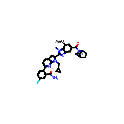 COc1cc(C(=O)N2CC3CCC2[C@@H]3C)cc2nc(-c3cc4ccc(-c5ccc(F)cc5C(N)=O)nc4n3CC3CC3)n(C)c12